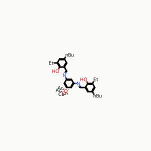 CC(=O)[O-].CC(=O)[O-].CCCCc1cc(C=Nc2cccc(N=Cc3cc(CCCC)cc(CC)c3O)c2)c(O)c(CC)c1.[Co+2]